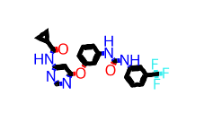 O=C(Nc1cccc(Oc2cc(NC(=O)C3CC3)ncn2)c1)Nc1cccc(C(F)(F)F)c1